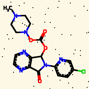 CN1CCN(OC(=O)OC2c3nccnc3C(=O)N2c2ccc(Cl)cn2)CC1